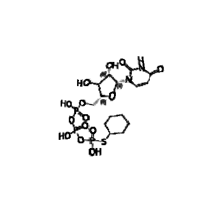 O=c1ccn([C@@H]2O[C@H](COP(=O)(O)OP(=O)(O)OP(=O)(O)SC3CCCCC3)C(O)[C@@H]2O)c(=O)[nH]1